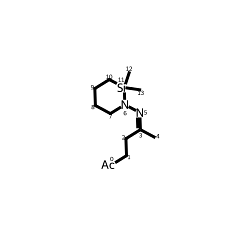 CC(=O)CCC(C)=NN1CCCC[Si]1(C)C